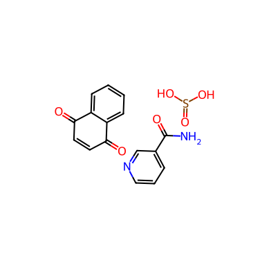 NC(=O)c1cccnc1.O=C1C=CC(=O)c2ccccc21.O=S(O)O